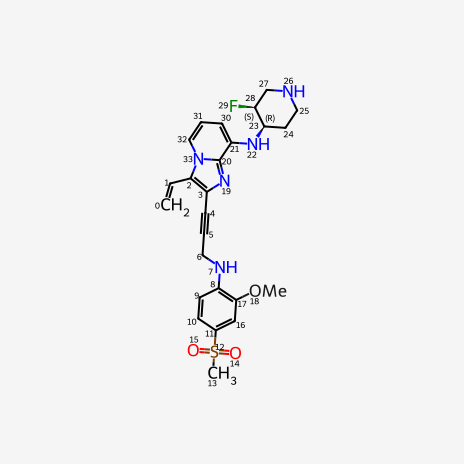 C=Cc1c(C#CCNc2ccc(S(C)(=O)=O)cc2OC)nc2c(N[C@@H]3CCNC[C@@H]3F)cccn12